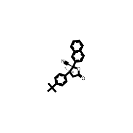 CC(C)(C)c1ccc([C@]2(C)CC(=O)O[C@@]2(C#N)c2ccc3ccccc3c2)cc1